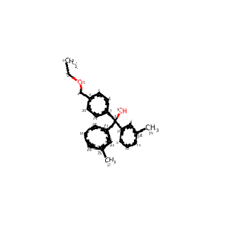 [CH2]COCc1ccc(C(O)(c2cccc(C)c2)c2cccc(C)c2)cc1